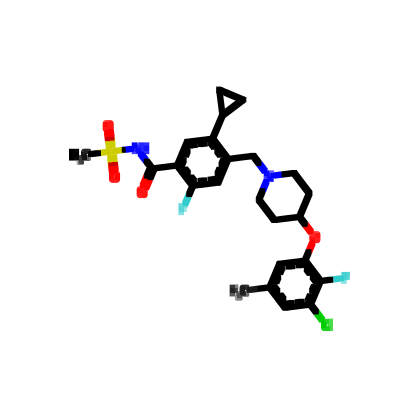 CS(=O)(=O)NC(=O)c1cc(C2CC2)c(CN2CCC(Oc3cc(C(F)(F)F)cc(Cl)c3F)CC2)cc1F